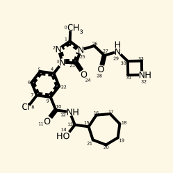 Cc1nn(-c2ccc(Cl)c(C(=O)NC(O)C3CCCCCC3)c2)c(=O)n1CC(=O)NC1CNC1